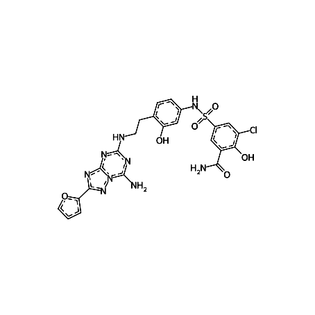 NC(=O)c1cc(S(=O)(=O)Nc2ccc(CCNc3nc(N)n4nc(-c5ccco5)nc4n3)c(O)c2)cc(Cl)c1O